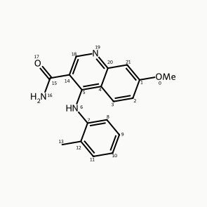 COc1ccc2c(Nc3ccccc3C)c(C(N)=O)cnc2c1